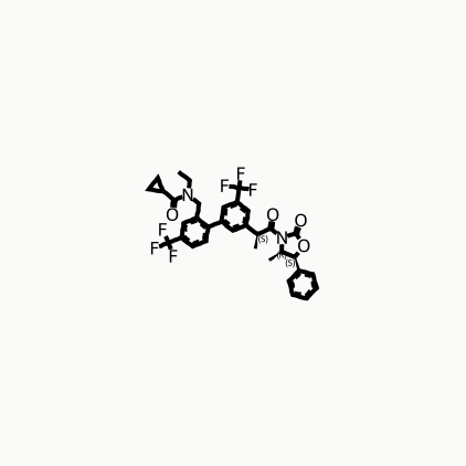 CCN(Cc1cc(C(F)(F)F)ccc1-c1cc([C@H](C)C(=O)N2C(=O)O[C@@H](c3ccccc3)[C@H]2C)cc(C(F)(F)F)c1)C(=O)C1CC1